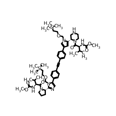 COC(=O)N[C@H](C(=O)N1CCNC[C@H]1c1cc(-c2ccc(C#Cc3ccc(-c4cnc([C@@H]5CCCN5C(=O)[C@@H](NC(=O)OC)C(C)C)n4COCC[Si](C)(C)C)cc3)cc2)cn1COCC[Si](C)(C)C)C(C)C